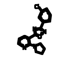 Clc1cccc(-c2noc(-c3cccnc3N3CCCC3)n2)c1